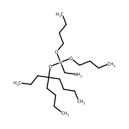 CCCCO[Si](CN)(OCCCC)OC(CCC)(CCCC)CCCC